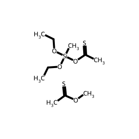 CCO[Si](C)(OCC)OC(C)=S.COC(C)=S